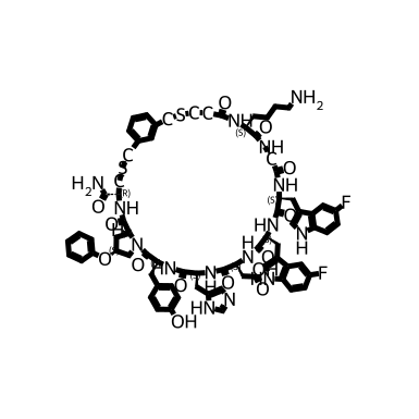 NCCCC[C@@H]1NC(=O)CCSCc2cccc(c2)CSC[C@@H](C(N)=O)NC(=O)[C@@H]2C[C@H](Oc3ccccc3)CN2C(=O)[C@H](Cc2ccc(O)cc2)NC(=O)[C@H](Cc2cnc[nH]2)NC(=O)[C@H](CC(=O)O)NC(=O)[C@H](Cc2c[nH]c3ccc(F)cc23)NC(=O)[C@H](Cc2c[nH]c3ccc(F)cc23)NC(=O)CNC1=O